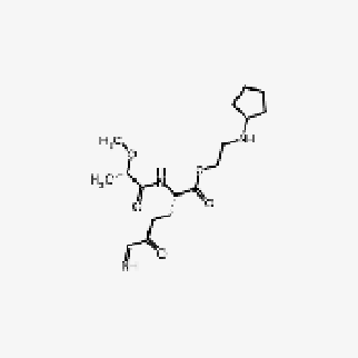 CO[C@@H](C)C(=O)N[C@@H](CCC(=O)C=N)C(=O)OCCNC1CCCC1